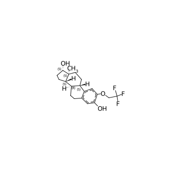 C[C@]12CC[C@@H]3c4cc(OCC(F)(F)F)c(O)cc4CC[C@H]3[C@@H]1CC[C@@H]2O